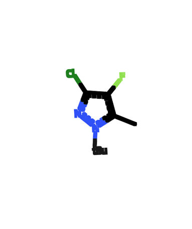 Cc1c(F)c(Cl)nn1C(C)(C)C